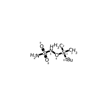 CC(C)(C)[Si](C)(C)ONS(N)(=O)=O